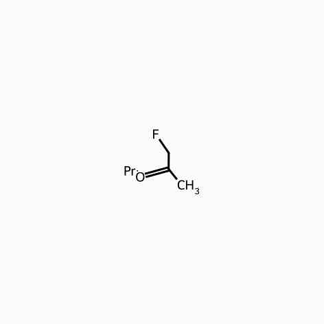 CC(=O)CF.[Pr]